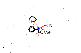 COC(=O)C(=NOCC#N)c1ccccc1OC1CCCCO1